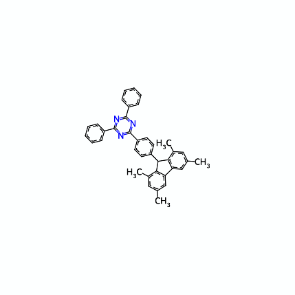 Cc1cc(C)c2c(c1)-c1cc(C)cc(C)c1C2c1ccc(-c2nc(-c3ccccc3)nc(-c3ccccc3)n2)cc1